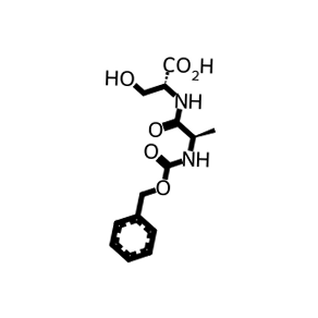 C[C@@H](NC(=O)OCc1ccccc1)C(=O)N[C@H](CO)C(=O)O